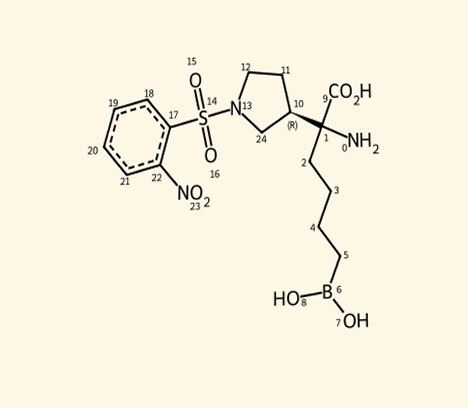 NC(CCCCB(O)O)(C(=O)O)[C@@H]1CCN(S(=O)(=O)c2ccccc2[N+](=O)[O-])C1